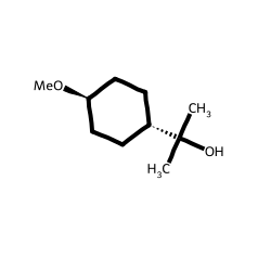 CO[C@H]1CC[C@H](C(C)(C)O)CC1